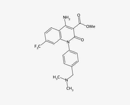 COC(=O)c1c(N)c2ccc(C(F)(F)F)cc2n(-c2ccc(CN(C)C)cc2)c1=O